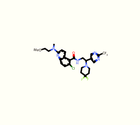 COCCN(C)c1ccc2c(C(=O)NCC(c3cnc(C(F)(F)F)nc3)N3CCC(F)(F)CC3)c(Cl)ccc2n1